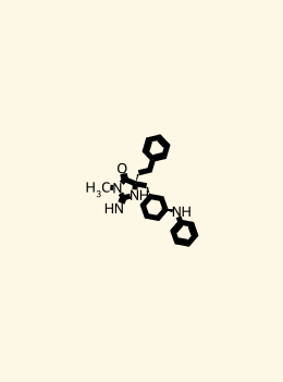 CN1C(=N)N[C@](CCc2ccccc2)(C[C@H]2CCC[C@H](Nc3ccccc3)C2)C1=O